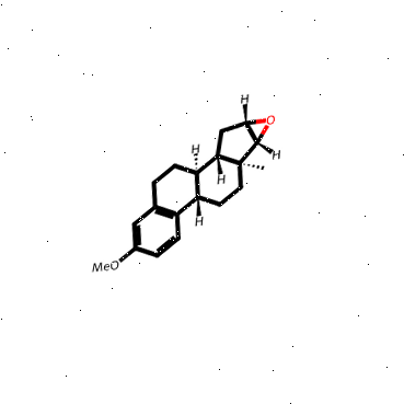 COc1ccc2c(c1)CC[C@@H]1[C@@H]2CC[C@@]2(C)[C@H]1C[C@@H]1O[C@@H]12